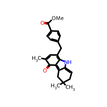 COC(=O)c1ccc(CC2=c3[nH]c4c(c3C(=O)C(C)=C2)CC(C)(C)CC=4)cc1